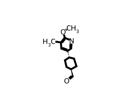 COc1ncc([C@H]2CC[C@H](C=O)CC2)cc1C